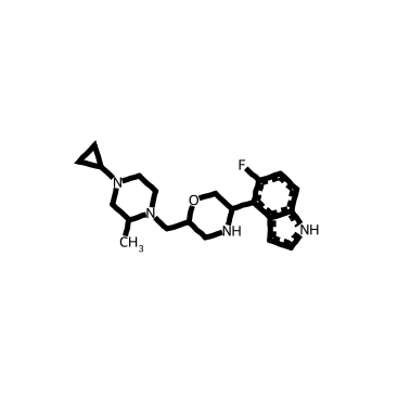 CC1CN(C2CC2)CCN1CC1CNC(c2c(F)ccc3[nH]ccc23)CO1